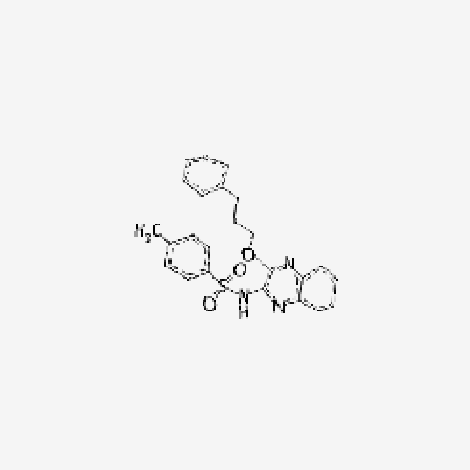 Cc1ccc(S(=O)(=O)Nc2nc3ccccc3nc2OCCCc2ccccc2)cc1